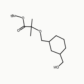 CC(C)(C)OC(=O)C(C)(C)OCC1CCCC(CO)C1